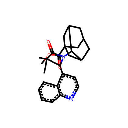 COC(=O)C12CC3CC(C1)C(N1C(=O)C(C)(C)C1c1ccnc4ccccc14)C(C3)C2